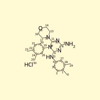 Cc1ccc(NC2N=C(N)N=C(N3CCOCC3)N2c2ccc(C)c(C)c2)cc1C.Cl